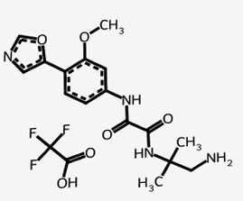 COc1cc(NC(=O)C(=O)NC(C)(C)CN)ccc1-c1cnco1.O=C(O)C(F)(F)F